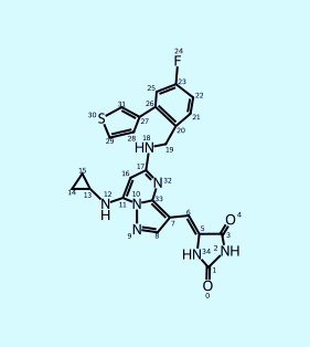 O=C1NC(=O)C(=Cc2cnn3c(NC4CC4)cc(NCc4ccc(F)cc4-c4ccsc4)nc23)N1